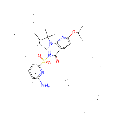 CC(C)Oc1ccc(C(=O)NS(=O)(=O)c2cccc(N)n2)c(N2CCC(C)C2(C)C)n1